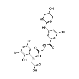 O=C(O)C[C@@H](NC(=O)CNC(=O)c1cc(O)cc(NC2=NCC(O)CN2)c1)c1cc(Br)cc(Br)c1O